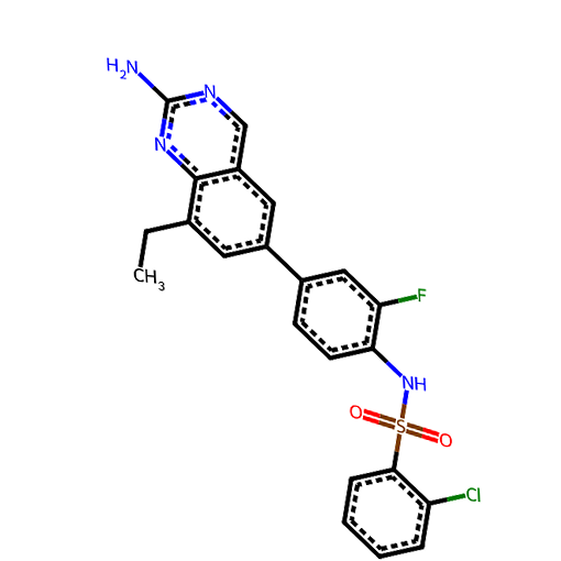 CCc1cc(-c2ccc(NS(=O)(=O)c3ccccc3Cl)c(F)c2)cc2cnc(N)nc12